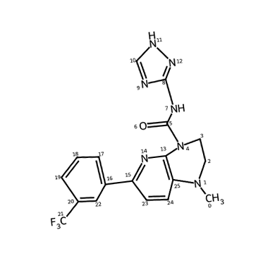 CN1CCN(C(=O)Nc2nc[nH]n2)c2nc(-c3cccc(C(F)(F)F)c3)ccc21